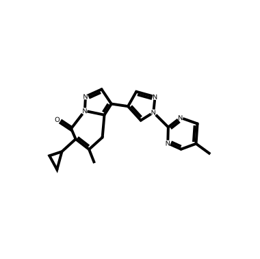 CC1=C(C2CC2)C(=O)n2ncc(-c3cnn(-c4ncc(C)cn4)c3)c2C1